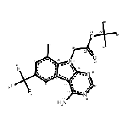 Cc1cc(C(F)(F)F)cc2c3c(N)ncnc3n(CC(=O)OC(C)(C)C)c12